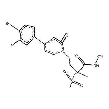 CC(CCn1ccc(-c2ccc(Br)c(F)c2)cc1=O)(C(=O)NO)S(C)(=O)=O